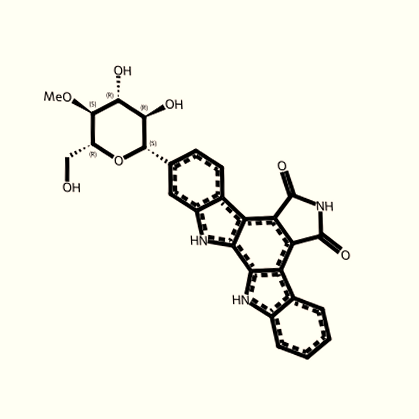 CO[C@H]1[C@H](O)[C@@H](O)[C@H](c2ccc3c(c2)[nH]c2c4[nH]c5ccccc5c4c4c(c32)C(=O)NC4=O)O[C@@H]1CO